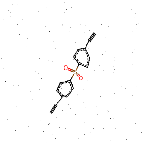 C#Cc1ccc(S(=O)(=O)c2ccc(C#C)cc2)cc1